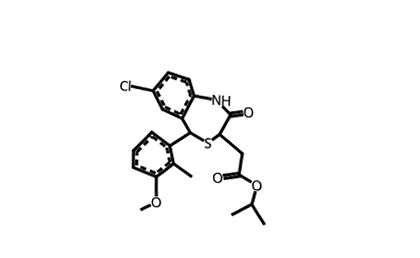 COc1cccc(C2SC(CC(=O)OC(C)C)C(=O)Nc3ccc(Cl)cc32)c1C